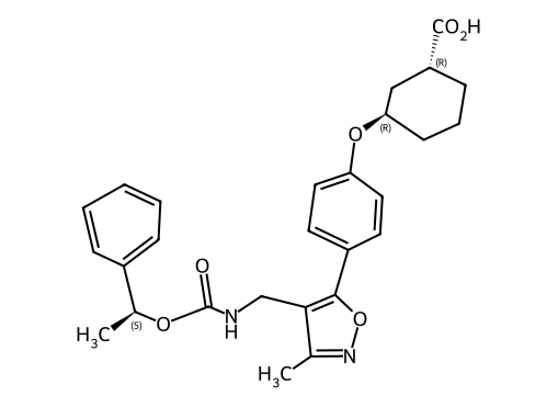 Cc1noc(-c2ccc(O[C@@H]3CCC[C@@H](C(=O)O)C3)cc2)c1CNC(=O)O[C@@H](C)c1ccccc1